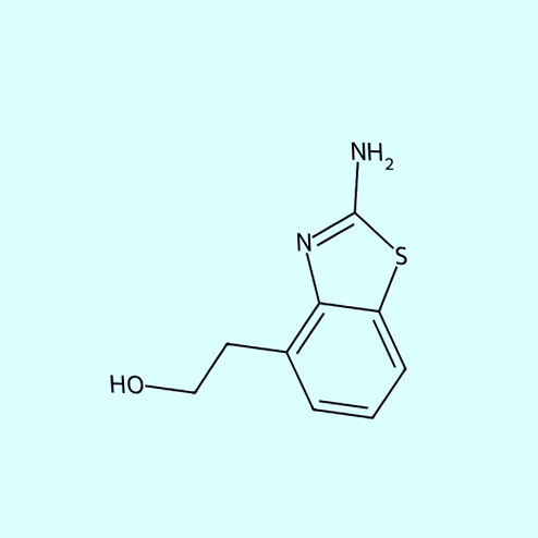 Nc1nc2c(CCO)cccc2s1